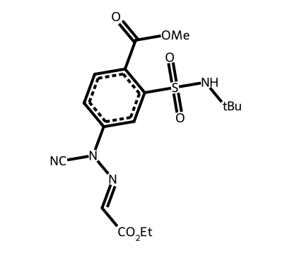 CCOC(=O)C=NN(C#N)c1ccc(C(=O)OC)c(S(=O)(=O)NC(C)(C)C)c1